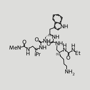 CCNC(=O)N[C@@H](CCCCN)CNC(=O)N[C@H](CNC(=O)N[C@H](CNC(=O)NC)C(C)C)Cc1c[nH]c2ccccc12